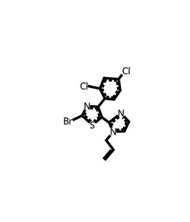 C=CCn1ccnc1-c1sc(Br)nc1-c1ccc(Cl)cc1Cl